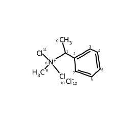 CC(c1ccccc1)[N+](C)(Cl)Cl.[Cl-]